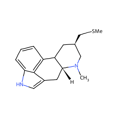 CSC[C@@H]1CC2c3cccc4[nH]cc(c34)C[C@H]2N(C)C1